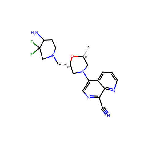 C[C@@H]1CN(c2cnc(C#N)c3ncccc23)C[C@H](CN2CCC(N)C(F)(F)C2)O1